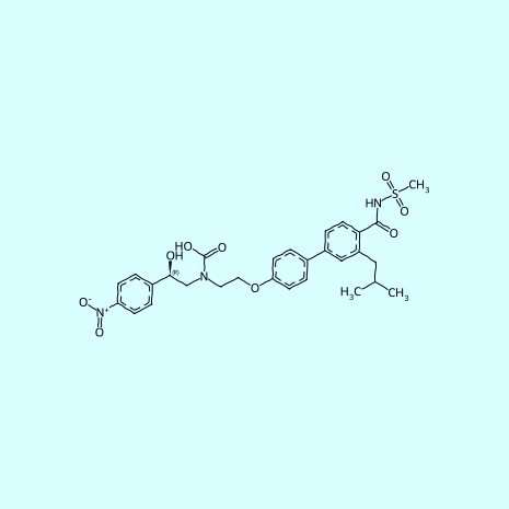 CC(C)Cc1cc(-c2ccc(OCCN(C[C@H](O)c3ccc([N+](=O)[O-])cc3)C(=O)O)cc2)ccc1C(=O)NS(C)(=O)=O